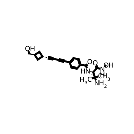 CC(C)(N)[C@H](NC(=O)c1ccc(C#CC#C[C@H]2C[C@H](CO)C2)cc1)C(=O)NO